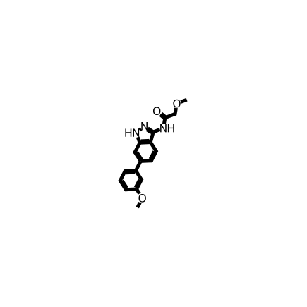 COCC(=O)Nc1n[nH]c2cc(-c3cccc(OC)c3)ccc12